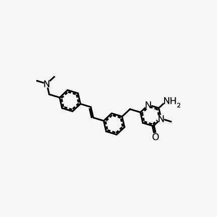 CN(C)Cc1ccc(C=Cc2cccc(Cc3cc(=O)n(C)c(N)n3)c2)cc1